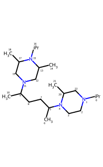 CC(C)N1CCN(C(C)CCC(C)N2CC(C)N(C(C)C)C(C)C2)C(C)C1